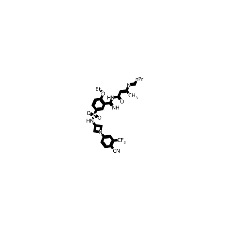 CCC/C=N/C(C)=C/C(=O)NC(=N)c1cc(S(=O)(=O)NC2CN(c3ccc(C#N)c(C(F)(F)F)c3)C2)ccc1OCC